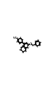 N#Cc1ccc(-c2cc(OCc3ccccn3)nc3c2CCCC3)cn1